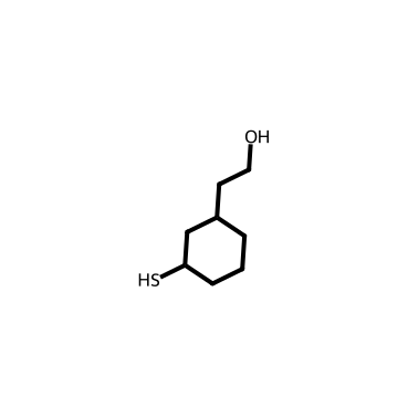 OCCC1CCCC(S)C1